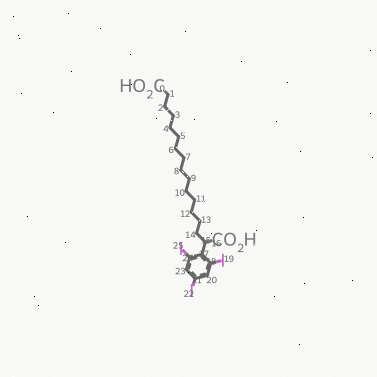 O=C(O)CCCCCCCCCCCCCCC(C(=O)O)c1c(I)cc(I)cc1I